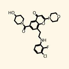 O=C(c1cc(CCNc2cccc(Cl)c2F)c2oc(N3CCOCC3)cc(=O)c2c1)N1CCC(O)CC1